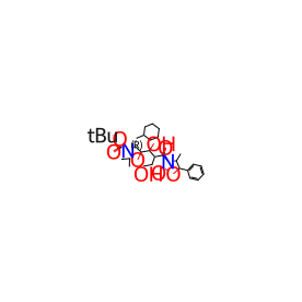 CC1C(c2ccccc2)OC(=O)N1C(=O)C(CCO)C(O)C1OC(C)(C)N(C(=O)OC(C)(C)C)[C@@H]1CC1CCCCC1